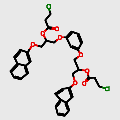 O=C(CCCl)OC(COc1cccc(OCC(COc2ccc3ccccc3c2)OC(=O)CCCl)c1)COc1ccc2ccccc2c1